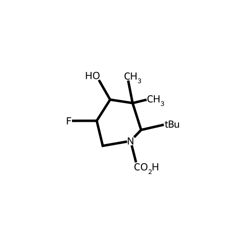 CC(C)(C)C1N(C(=O)O)CC(F)C(O)C1(C)C